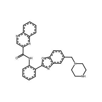 O=C(Nc1ccccc1-c1nc2cc(CN3CCNCC3)ccc2o1)c1cnc2ccccc2n1